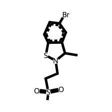 CC1c2cc(Br)ccc2SN1CCS(C)(=O)=O